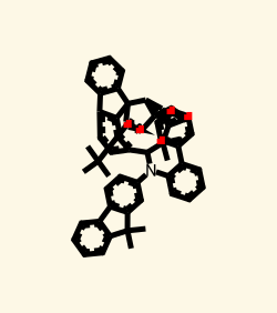 CC(C)(C)c1ccc2c(c1)C13c4ccccc4-c4ccc(cc41)C(N(c1ccc4c(c1)C(C)(C)c1ccccc1-4)c1ccccc1-c1ccccc1)C(C)(C)c1ccc-2c3c1